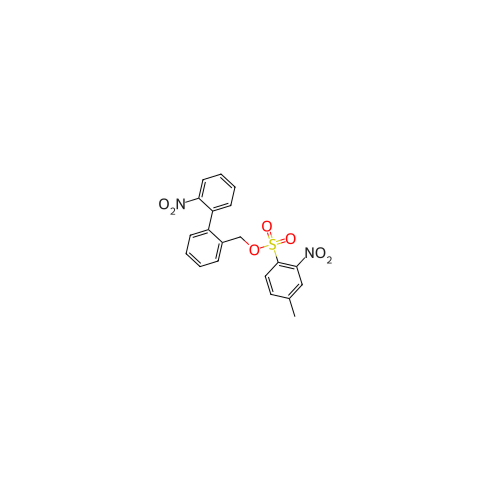 Cc1ccc(S(=O)(=O)OCc2ccccc2-c2ccccc2[N+](=O)[O-])c([N+](=O)[O-])c1